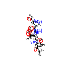 CCC(=O)C(CCC(=O)NC(CCC(=O)NC(CCC(=O)C(C)C)C(=O)C(C)C)C(=O)CC)NC